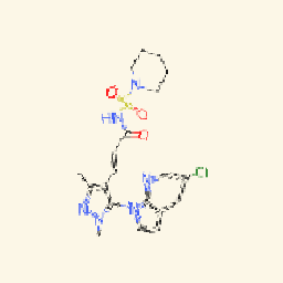 Cc1nn(C)c(-n2ccc3cc(Cl)cnc32)c1C=CC(=O)NS(=O)(=O)N1CCCCC1